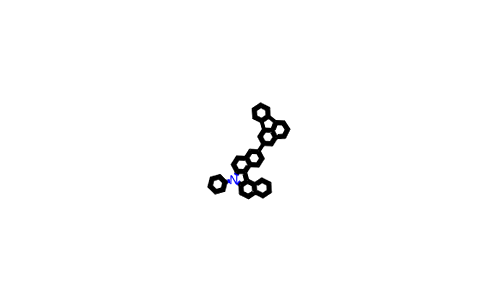 c1ccc(-n2c3ccc4ccccc4c3c3c4ccc(-c5cc6c7c(cccc7c5)-c5ccccc5-6)cc4ccc32)cc1